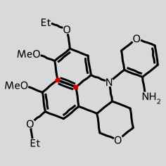 CCOc1cc(C2COCCC2N(C2=C(N)C=COC2)c2ccc(OC)c(OCC)c2)ccc1OC